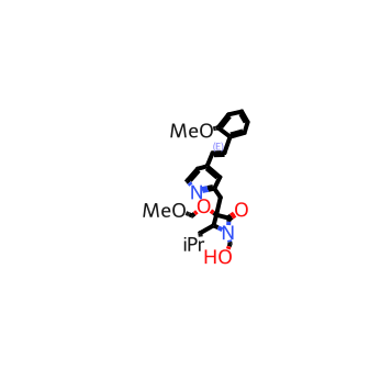 COCOC1(Cc2cc(/C=C/c3ccccc3OC)ccn2)C(=O)N(CO)C1CC(C)C